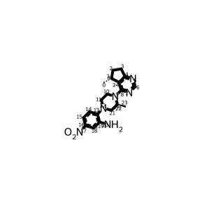 C[C@@H]1CCc2ncnc(N3CCN(c4ccc([N+](=O)[O-])[c]c4N)C[C@@H]3C)c21